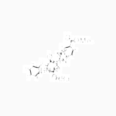 COC(=O)c1ccc2nc(NC(=O)[C@H](Cc3ccccc3)NC(=O)OC(C)(C)C)nn2c1